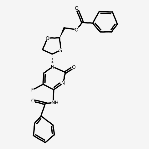 O=C(Nc1nc(=O)n([C@@H]2CO[C@@H](COC(=O)c3ccccc3)S2)cc1F)c1ccccc1